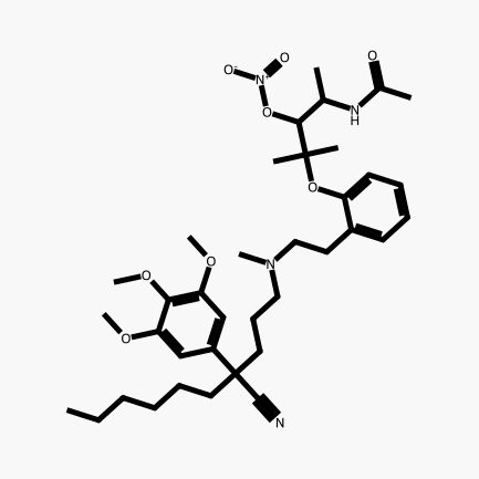 CCCCCCC(C#N)(CCCN(C)CCc1ccccc1OC(C)(C)C(O[N+](=O)[O-])C(C)NC(C)=O)c1cc(OC)c(OC)c(OC)c1